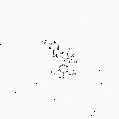 CCOP(=O)(OCC)C(CNc1ccc(C)nc1C)c1cc(C)c(O)c(OC)c1